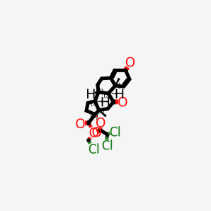 C[C@]12C=CC(=O)C=C1CC[C@@H]1[C@@H]2C(=O)C[C@@]2(C)[C@H]1CC[C@]2(OC(=O)C(Cl)Cl)C(=O)OCCl